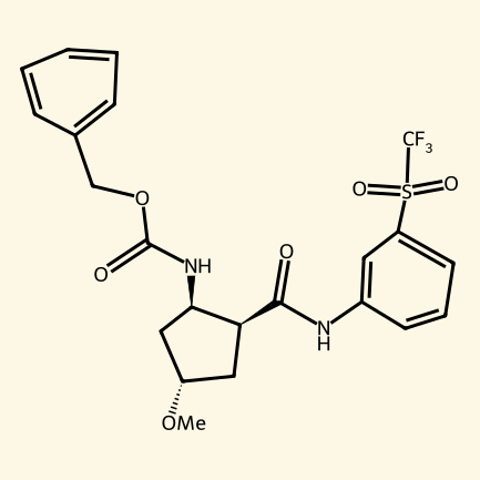 CO[C@H]1C[C@H](C(=O)Nc2cccc(S(=O)(=O)C(F)(F)F)c2)[C@H](NC(=O)OCc2ccccc2)C1